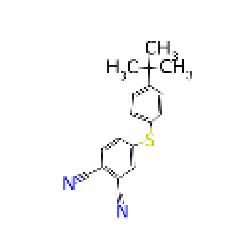 CC(C)(C)c1ccc(Sc2ccc(C#N)c(C#N)c2)cc1